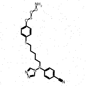 N#Cc1ccc(N(CCCCCSc2ccc(OSOON)cc2)n2cnnc2)cc1